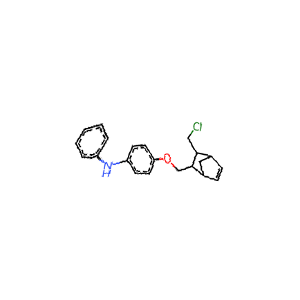 ClCC1C2C=CC(C2)C1COc1ccc(Nc2ccccc2)cc1